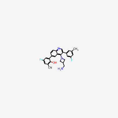 Cc1cc(F)cc(-c2cnc3ccc(-c4cc(F)cc(C#N)c4O)cc3c2N2CC(CN)C2)c1